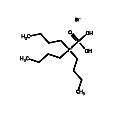 CCCC[P+](CCCC)(CCCC)P(=O)(O)O.[Br-]